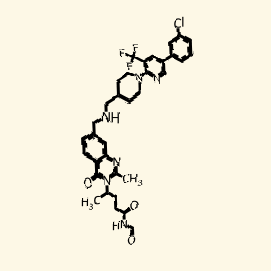 Cc1nc2cc(CNCC3CCN(c4ncc(-c5cccc(Cl)c5)cc4C(F)(F)F)CC3)ccc2c(=O)n1C(C)CCC(=O)NC=O